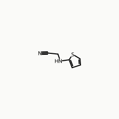 N#CCNc1cccs1